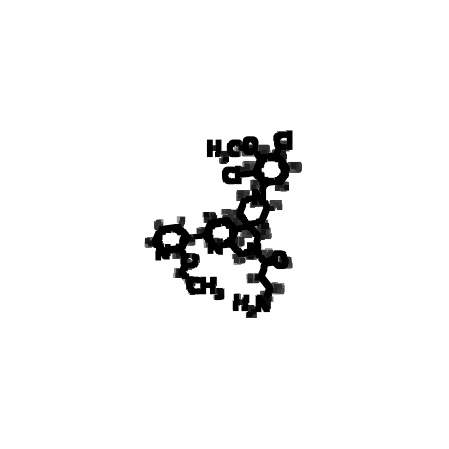 CCOc1ncccc1-c1ccc2c(n1)CN(C(=O)CCN)CC21CCN(c2ccc(Cl)c(OC)c2Cl)CC1